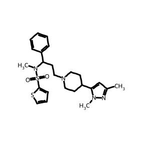 Cc1cc(C2CCN(CCC(c3ccccc3)N(C)S(=O)(=O)c3cccs3)CC2)n(C)n1